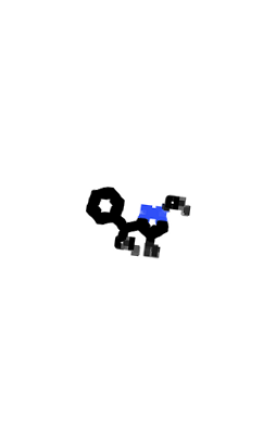 [CH2]Cc1cn(C)nc1C(C)c1ccccc1